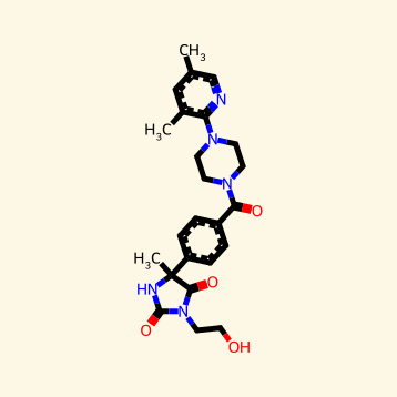 Cc1cnc(N2CCN(C(=O)c3ccc(C4(C)NC(=O)N(CCO)C4=O)cc3)CC2)c(C)c1